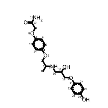 CC(COc1ccc(OCC(N)=O)cc1)NCC(O)COc1ccc(O)cc1